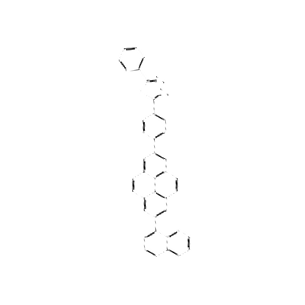 c1ccc(-c2nnc(-c3ccc(-c4cc5ccc6cc(-c7cccc8ccccc78)cc7ccc(c4)c5c67)cc3)s2)cc1